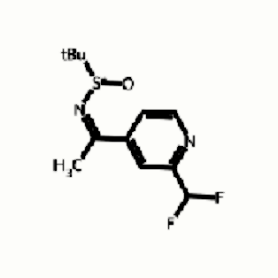 C/C(=N/[S+]([O-])C(C)(C)C)c1ccnc(C(F)F)c1